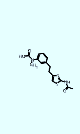 CC(=O)Nc1nc(CCc2cccc(N(N)C(=O)O)c2)cs1